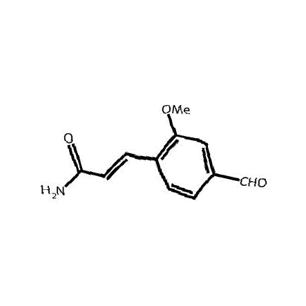 COc1cc(C=O)ccc1/C=C/C(N)=O